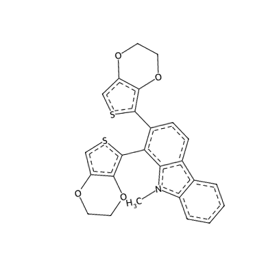 Cn1c2ccccc2c2ccc(-c3scc4c3OCCO4)c(-c3scc4c3OCCO4)c21